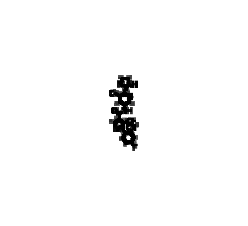 N#Cc1cc(F)ccc1-n1ncc(C(=O)Nc2cnc(N3N=CCN3)c(Cl)c2)c1C(F)(F)F